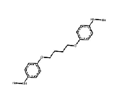 CCC(C)Nc1ccc(OCCCCOc2ccc(NC(C)CC)cc2)cc1